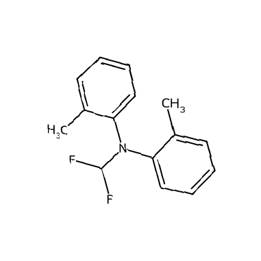 Cc1ccccc1N(c1ccccc1C)C(F)F